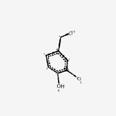 Oc1ccc(CCl)cc1Cl